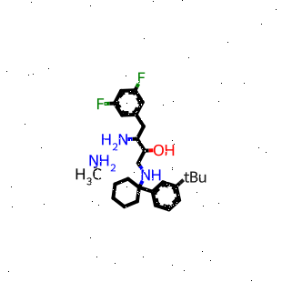 CC(C)(C)c1cccc(C2(NCC(O)C(N)Cc3cc(F)cc(F)c3)CCCCC2)c1.CN